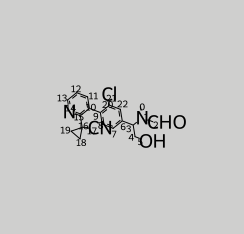 CN(C=O)C(CO)c1ccc(-c2cccnc2C2(C#N)CC2)c(Cl)c1